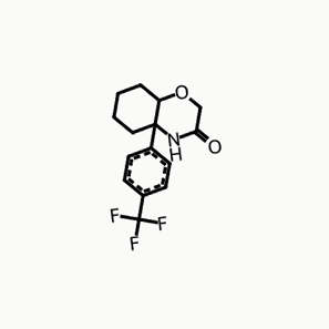 O=C1COC2CCCCC2(c2ccc(C(F)(F)F)cc2)N1